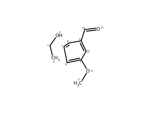 CCO.COc1cccc(C=O)c1